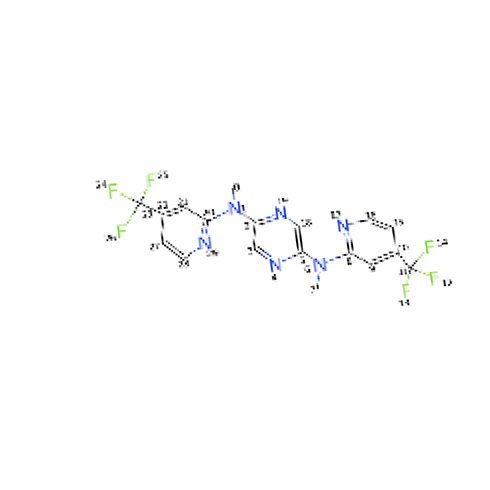 CN(c1cnc(N(C)c2cc(C(F)(F)F)ccn2)cn1)c1cc(C(F)(F)F)ccn1